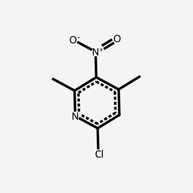 Cc1cc(Cl)nc(C)c1[N+](=O)[O-]